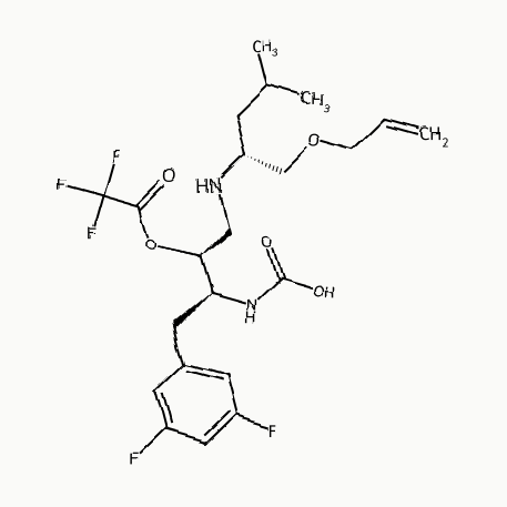 C=CCOC[C@@H](CC(C)C)NC[C@H](OC(=O)C(F)(F)F)[C@H](Cc1cc(F)cc(F)c1)NC(=O)O